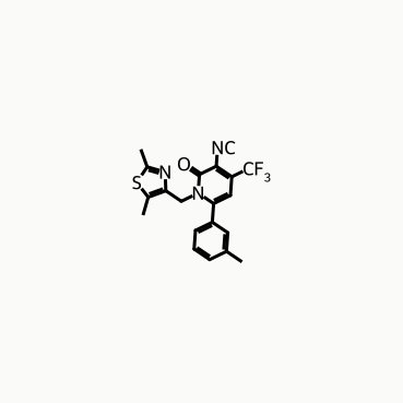 [C-]#[N+]c1c(C(F)(F)F)cc(-c2cccc(C)c2)n(Cc2nc(C)sc2C)c1=O